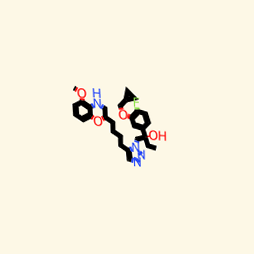 CC[C@@](O)(Cn1nncc1CCCCC1CNc2c(OC)cccc2O1)c1ccc(F)c(OCC2CC2)c1